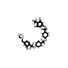 CCOCc1ccc(C(F)(F)OC2CCC(C(F)(F)OC3CCC(C(F)(F)Oc4cc(F)c(C(F)(F)F)c(F)c4)CC3)CC2)c(F)c1